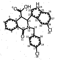 O=C(O)C1c2ccccc2C(=O)N(Cc2ccc(Cl)cc2)C1c1c[nH]c2ccc(Cl)cc12